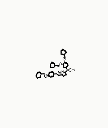 OC(c1ccc(OCc2ccccc2)c(OCc2ccccc2)c1)C1CCC(CCc2ccc(OCc3ccccc3)cc2)N1